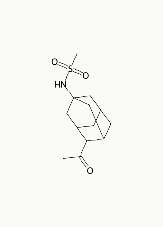 CC(=O)C1C2CC3CC1CC(NS(C)(=O)=O)(C3)C2